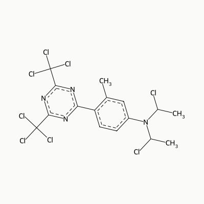 Cc1cc(N(C(C)Cl)C(C)Cl)ccc1-c1nc(C(Cl)(Cl)Cl)nc(C(Cl)(Cl)Cl)n1